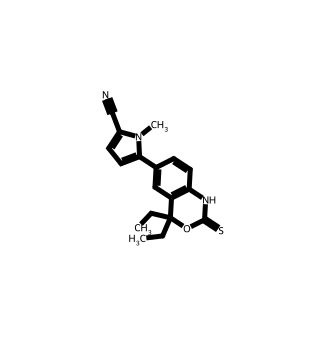 CCC1(CC)OC(=S)Nc2ccc(-c3ccc(C#N)n3C)cc21